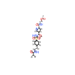 CC(=O)OCCNC(=O)c1ccc(C(=O)NS(=O)(=O)c2ccc(CCNC(=O)C(C)C)cc2)cn1